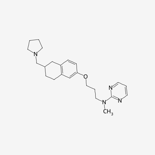 CN(CCCOc1ccc2c(c1)CCC(CN1CCCC1)C2)c1ncccn1